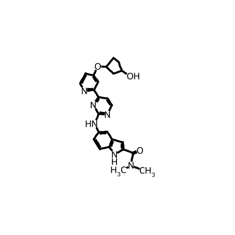 CN(C)C(=O)c1cc2cc(Nc3nccc(-c4cc(OC5CCC(O)C5)ccn4)n3)ccc2[nH]1